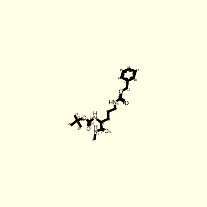 CNC(=O)C(CCCNC(=O)OCc1ccccc1)NC(=O)OC(C)(C)C